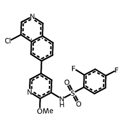 COc1ncc(-c2ccc3cncc(Cl)c3c2)cc1NS(=O)(=O)c1ccc(F)cc1F